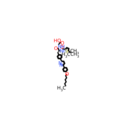 CCCCCCCOc1ccc(-c2ccc(-c3ccc(C[C@H](NC(=O)c4ccc(C(C)(C)C)s4)C(=O)NCC(=O)O)cc3)nn2)cc1